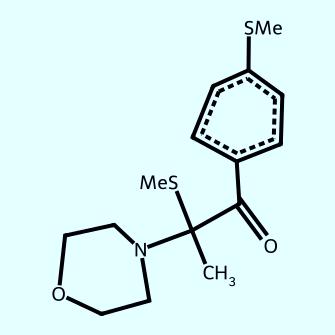 CSc1ccc(C(=O)C(C)(SC)N2CCOCC2)cc1